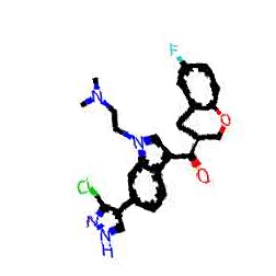 CN(C)CCn1cc(C(=O)[C@@H]2COc3ccc(F)cc3C2)c2ccc(-c3c[nH]nc3Cl)cc21